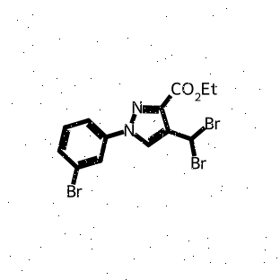 CCOC(=O)c1nn(-c2cccc(Br)c2)cc1C(Br)Br